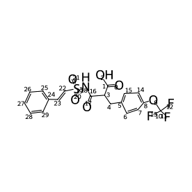 O=C(O)C(Cc1ccc(OC(F)(F)F)cc1)C(=O)NS(=O)(=O)C=Cc1ccccc1